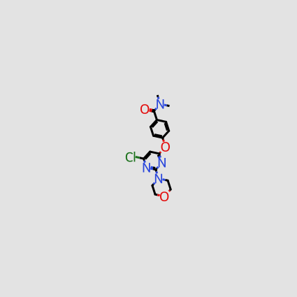 CN(C)C(=O)c1ccc(Oc2cc(Cl)nc(N3CCOCC3)n2)cc1